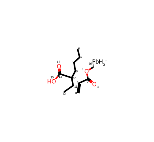 C=CC(=O)OC.CCCCC(CC)C(=O)O.[PbH2]